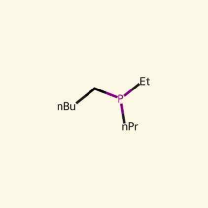 CCCCCP(CC)CCC